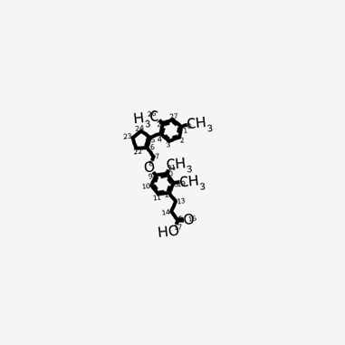 Cc1ccc(C2=C(COc3ccc(CCC(=O)O)c(C)c3C)CCC2)c(C)c1